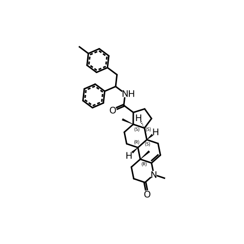 Cc1ccc(CC(NC(=O)C2CC[C@H]3[C@@H]4CC=C5N(C)C(=O)CC[C@]5(C)[C@@H]4CC[C@]23C)c2ccccc2)cc1